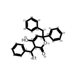 CCC(c1ccccc1)C1C(=O)OC(Cc2ccccc2)(c2ccccc2)C=C1O